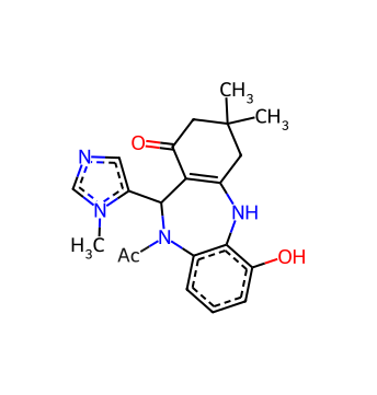 CC(=O)N1c2cccc(O)c2NC2=C(C(=O)CC(C)(C)C2)C1c1cncn1C